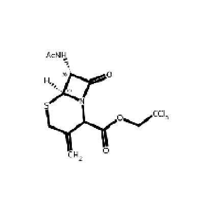 C=C1CS[C@H]2[C@H](NC(C)=O)C(=O)N2C1C(=O)OCC(Cl)(Cl)Cl